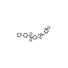 COc1ccc(CNC2CC2c2ccc(NC(=O)c3ccc(-c4ccccc4)cc3)cc2)cn1